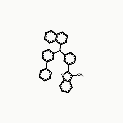 Cc1c(-c2cccc(N(c3cccc(-c4ccccc4)c3)c3cccc4ccccc34)c2)oc2ccccc12